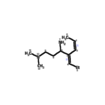 C/C=C\C(=C/CC)C(N)CCN(C)C